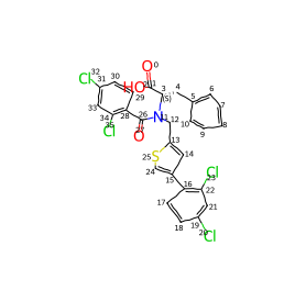 O=C(O)[C@H](Cc1ccccc1)N(Cc1cc(-c2ccc(Cl)cc2Cl)cs1)C(=O)c1ccc(Cl)cc1Cl